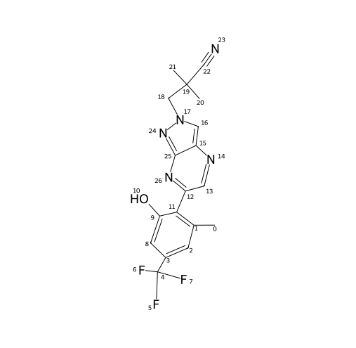 Cc1cc(C(F)(F)F)cc(O)c1-c1cnc2cn(CC(C)(C)C#N)nc2n1